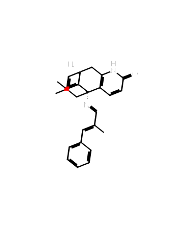 C/C=C1\[C@H]2C=C(C)C[C@]1(N=CC(C)=Cc1ccccc1)c1ccc(=O)[nH]c1C2